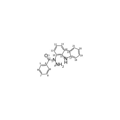 NN(C(=O)c1ccccc1)c1cccc2c1[nH]c1ccccc12